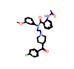 COc1cccc(N(CCN2CCC(C(=O)c3ccc(F)cc3)CC2)C(=O)c2ccccc2NC(C)=O)c1